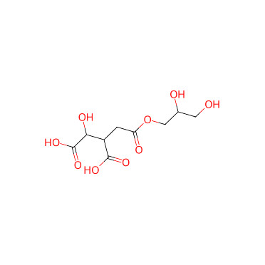 O=C(CC(C(=O)O)C(O)C(=O)O)OCC(O)CO